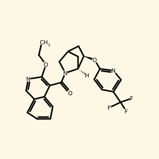 CCOc1ncc2ccccc2c1C(=O)N1CC2C[C@@H](Oc3ccc(C(F)(F)F)cn3)[C@@H]1C2